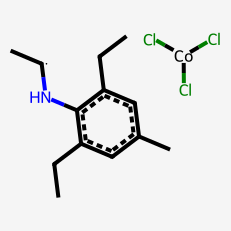 C[CH]Nc1c(CC)cc(C)cc1CC.[Cl][Co]([Cl])[Cl]